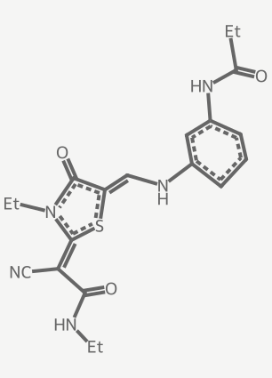 CCNC(=O)C(C#N)=c1sc(=CNc2cccc(NC(=O)CC)c2)c(=O)n1CC